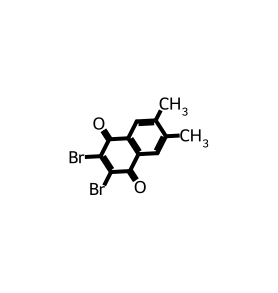 Cc1cc2c(cc1C)C(=O)C(Br)=C(Br)C2=O